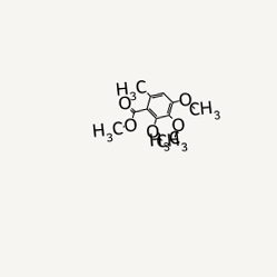 COC(=O)c1c(C)cc(OC)c(OC)c1OC